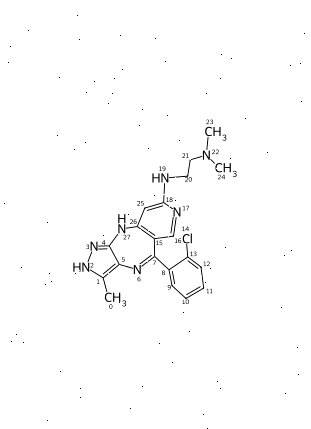 Cc1[nH]nc2c1N=C(c1ccccc1Cl)c1cnc(NCCN(C)C)cc1N2